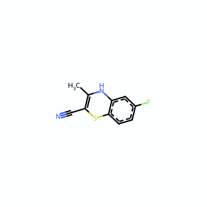 CC1=C(C#N)Sc2ccc(F)cc2N1